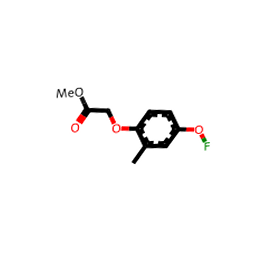 COC(=O)COc1ccc(OF)cc1C